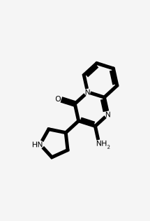 Nc1nc2ccccn2c(=O)c1C1CCNC1